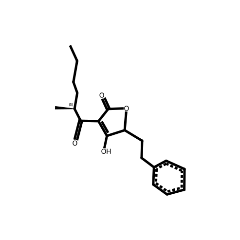 CCCC[C@H](C)C(=O)C1=C(O)C(CCc2ccccc2)OC1=O